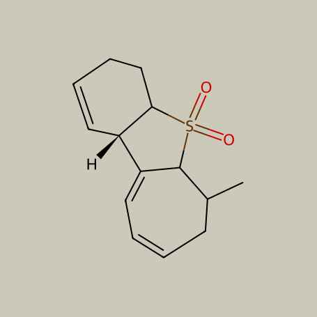 CC1CC=CC=C2C1S(=O)(=O)C1CCC=C[C@@H]21